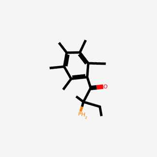 CCC(C)(P)C(=O)c1c(C)c(C)c(C)c(C)c1C